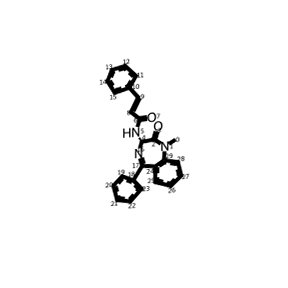 CN1C(=O)[C@@H](NC(=O)C=Cc2ccccc2)N=C(c2ccccc2)c2ccccc21